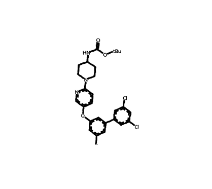 [CH2]c1cc(Oc2ccc(N3CCC(NC(=O)OC(C)(C)C)CC3)nc2)cc(-c2cc(Cl)cc(Cl)c2)c1